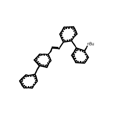 CCCCc1ccccc1-c1ccccc1/C=C/c1ccc(-c2ccccc2)cc1